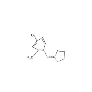 Cc1cc(Cl)ccc1C=C1CCCC1